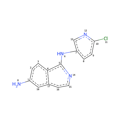 Nc1ccc2c(Nc3ccc(Cl)nc3)nccc2c1